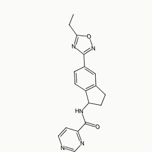 CCc1nc(-c2ccc3c(c2)CCC3NC(=O)c2ccncn2)no1